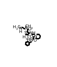 CNCCN(C)C(=O)c1scc(C)c1NC(=O)C[N+]1(CC(=O)NCc2ccccc2)CCCCCC1